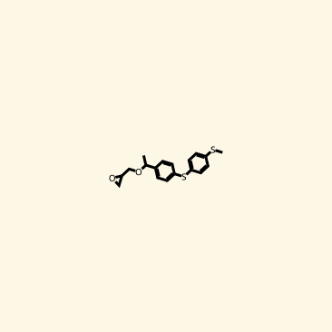 CSc1ccc(Sc2ccc(C(C)OCC3CO3)cc2)cc1